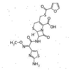 CO/N=C(\C(=O)NC1C(=O)N2C(C(=O)O)=C(CSC(=O)c3ccco3)CS[C@H]12)c1csc(N)n1